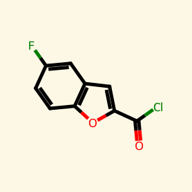 O=C(Cl)c1cc2cc(F)ccc2o1